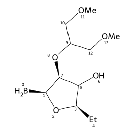 B[C@@H]1O[C@H](CC)C(O)[C@@H]1OC(COC)COC